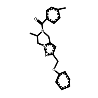 Cc1ccc(C(=O)N2Cc3cc(COc4ccccc4)nn3CC2C)cc1